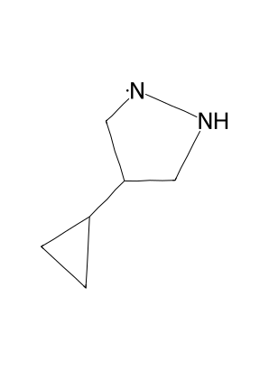 C1CC1C1C[N]NC1